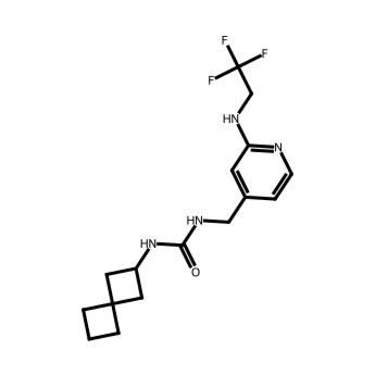 O=C(NCc1ccnc(NCC(F)(F)F)c1)NC1CC2(CCC2)C1